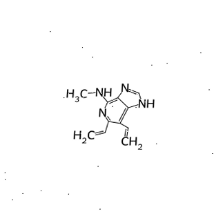 C=Cc1nc(NC)c2nc[nH]c2c1C=C